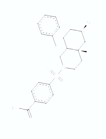 C=C(C)c1ccc(S(=O)(=O)N2CC[C@H]3C[C@H](N)CC[C@]3(Cc3ccccc3)C2)cc1